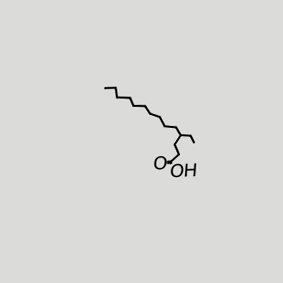 CCCCCCCCCCC(CC)CCC(=O)O